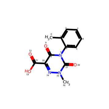 Cc1ccccc1-n1c(=O)c(C(=O)O)nn(C)c1=O